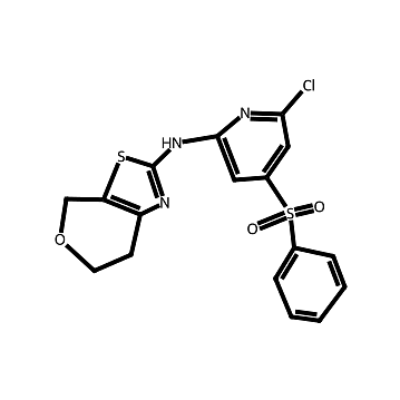 O=S(=O)(c1ccccc1)c1cc(Cl)nc(Nc2nc3c(s2)COCC3)c1